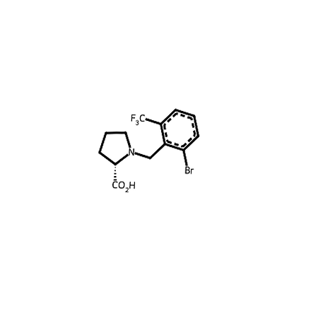 O=C(O)[C@@H]1CCCN1Cc1c(Br)cccc1C(F)(F)F